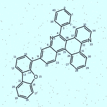 c1ccc(-c2nc3cc(-c4cccc5c4oc4ccccc45)ccc3c3c4ccccc4c4ncccc4c23)cc1